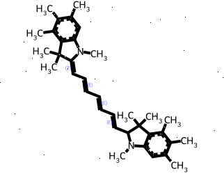 Cc1cc2c(c(C)c1C)C(C)(C)/C(=C/C=C/C=C/C=C/C1N(C)c3cc(C)c(C)c(C)c3C1(C)C)N2C